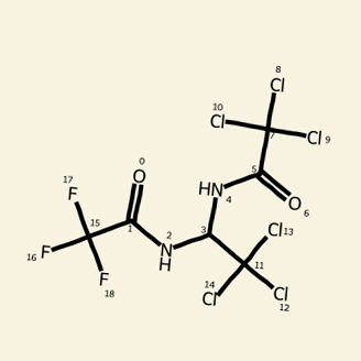 O=C(NC(NC(=O)C(Cl)(Cl)Cl)C(Cl)(Cl)Cl)C(F)(F)F